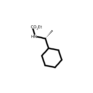 CCOC(=O)N[C@H](C)C1CCCCC1